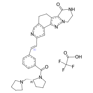 O=C(O)C(F)(F)F.O=C1NCCn2nc3c(c21)CCc1cnc(/C=C/c2cccc(C(=O)N4CCC[C@@H]4CN4CCCC4)c2)cc1-3